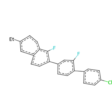 CCc1ccc2c(F)c(-c3ccc(-c4ccc(Cl)cc4)c(F)c3)ccc2c1